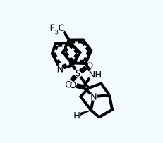 O=C(Nc1ccc(C(F)(F)F)cc1)N1C2CC[C@@H]1CC(S(=O)(=O)c1ccccn1)C2